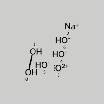 OO.[Na+].[O+2].[OH-].[OH-].[OH-]